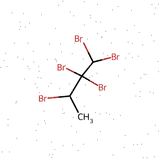 CC(Br)C(Br)(Br)C(Br)Br